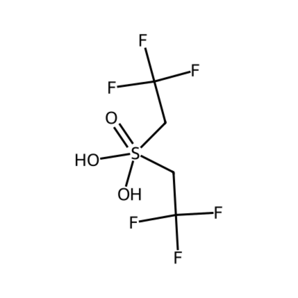 O=S(O)(O)(CC(F)(F)F)CC(F)(F)F